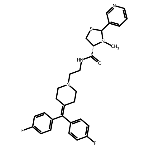 CN1C(c2cccnc2)SC[C@H]1C(=O)NCCN1CCC(=C(c2ccc(F)cc2)c2ccc(F)cc2)CC1